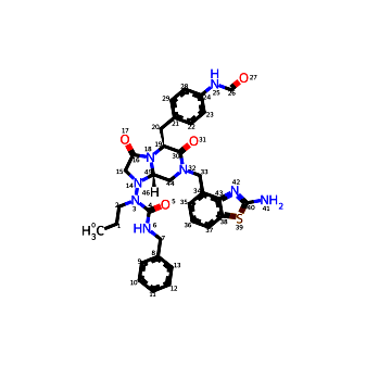 CCCN(C(=O)NCc1ccccc1)N1CC(=O)N2[C@@H](Cc3ccc(NC=O)cc3)C(=O)N(Cc3cccc4sc(N)nc34)C[C@@H]21